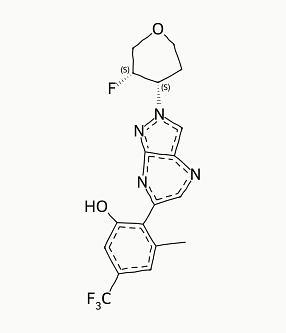 Cc1cc(C(F)(F)F)cc(O)c1-c1cnc2cn([C@H]3CCOC[C@H]3F)nc2n1